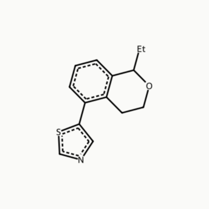 CCC1OCCc2c(-c3cncs3)cccc21